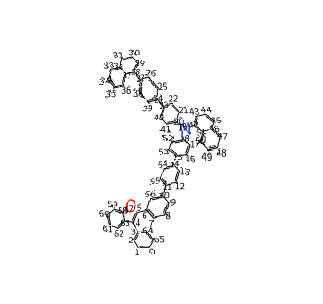 c1ccc(-c2c(-c3cccc(-c4ccc(-c5ccc(N(c6ccc(-c7ccc(-c8cccc9ccccc89)cc7)cc6)c6cccc7ccccc67)cc5)cc4)c3)oc3ccccc23)cc1